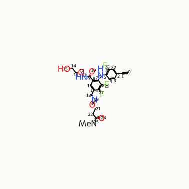 C#Cc1ccc(Nc2c(C(=O)NOCCO)cc(/C=N/OCCC(=O)NC)c(F)c2F)c(F)c1